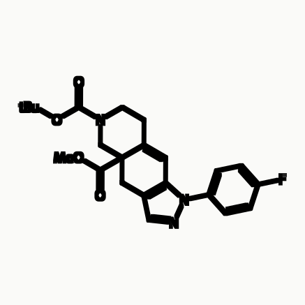 COC(=O)C12Cc3cnn(-c4ccc(F)cc4)c3C=C1CCN(C(=O)OC(C)(C)C)C2